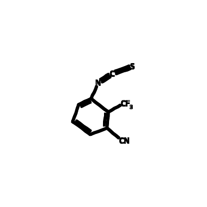 N#Cc1cccc(N=C=S)c1C(F)(F)F